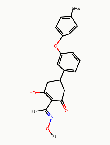 CCON=C(CC)C1=C(O)CC(c2cccc(Oc3ccc(SC)cc3)c2)CC1=O